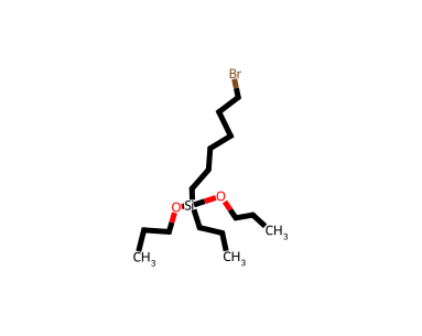 CCCO[Si](CCC)(CCCCCCBr)OCCC